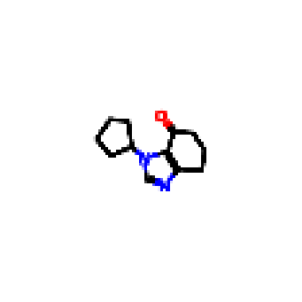 O=C1CCCc2ncn(C3CCCC3)c21